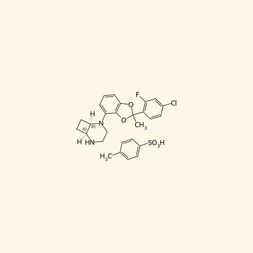 CC1(c2ccc(Cl)cc2F)Oc2cccc(N3CCN[C@H]4CC[C@H]43)c2O1.Cc1ccc(S(=O)(=O)O)cc1